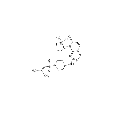 CC(C)=CS(=O)(=O)N1CCC(Nc2ncc3ccc(=O)n([C@@H]4CCC[C@@]4(C)O)c3n2)CC1